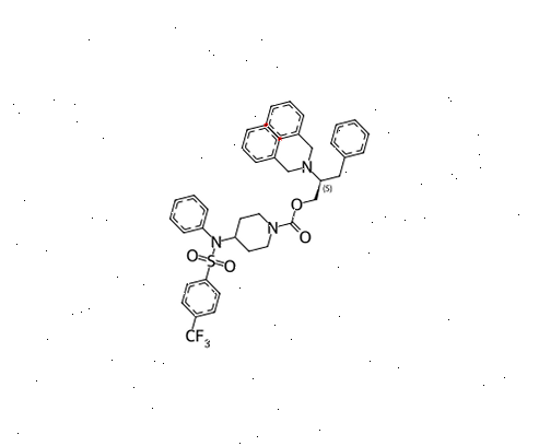 O=C(OC[C@H](Cc1ccccc1)N(Cc1ccccc1)Cc1ccccc1)N1CCC(N(c2ccccc2)S(=O)(=O)c2ccc(C(F)(F)F)cc2)CC1